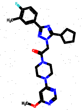 COc1cc(N2CCN(C(=O)Cn3nc(-c4ccc(F)c(C)c4)nc3C3CCCC3)CC2)ncn1